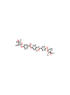 CCCC(Oc1ccc(C(=O)Cc2ccc(OC(=O)c3ccc(OC(CCC)OC(C)C4(C)CO4)cc3)cc2C)cc1)OC(C)C1(C)CO1